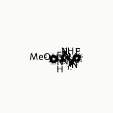 COc1ccc(Nc2nc(-n3c(C)nc4ccc(F)cc43)nc(N)c2F)cc1